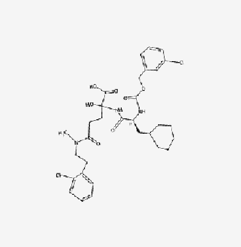 CN(CCc1ccccc1Cl)C(=O)CCC(O)(NC(=O)[C@H](CC1CCCCC1)NC(=O)OCc1cccc(Cl)c1)C(=O)O